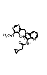 COc1ncnc(Cn2cc(NC(=O)CC3CC3)c3ncccc32)c1C